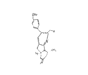 COc1ccc(-c2cc3c(nc2CF)N2[C@@H](CNC[C@H]2C)C3)cc1